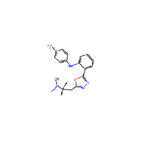 CN(C#N)C(C)(C)Cc1nnc(-c2ccccc2Nc2ccc(C(F)(F)F)cc2)o1